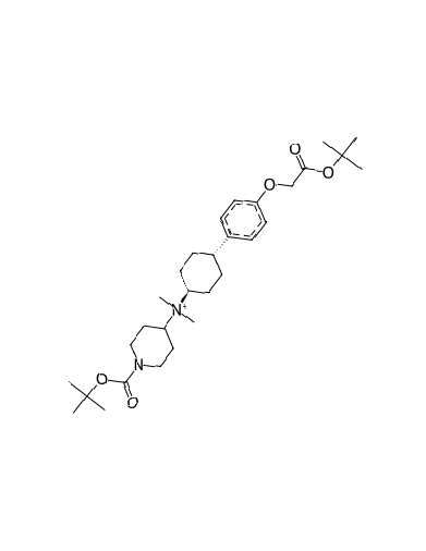 CC(C)(C)OC(=O)COc1ccc([C@H]2CC[C@H]([N+](C)(C)C3CCN(C(=O)OC(C)(C)C)CC3)CC2)cc1